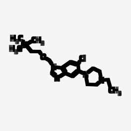 CCN1CCN(c2cc3ncn(COCC[Si](C)(C)C)c3cc2Cl)CC1